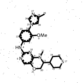 COc1cc(Nc2ncc3c(n2)N(C)C(C2CCSCC2)CO3)ccc1-n1cnc(C)c1